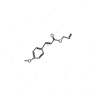 C=CCOC(=O)/C=C/c1ccc(OC)cc1